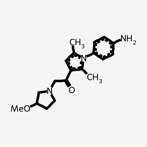 COC1CCN(CC(=O)c2cc(C)n(-c3ccc(N)cc3)c2C)C1